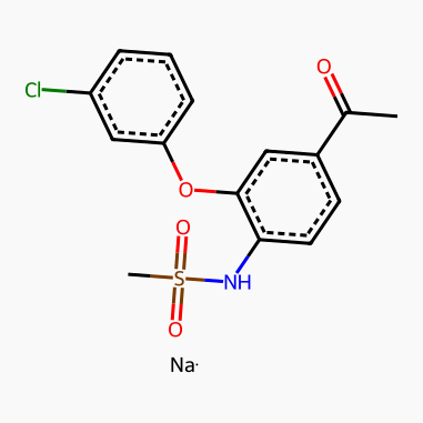 CC(=O)c1ccc(NS(C)(=O)=O)c(Oc2cccc(Cl)c2)c1.[Na]